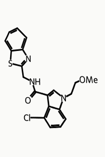 COCCn1cc(C(=O)NCc2nc3ccccc3s2)c2c(Cl)cccc21